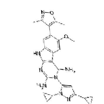 COc1cc2c3c([nH]c2cc1-c1c(C)noc1C)N=C(N)N(c1cc(C2CC2)nn1C1CC1)C3N